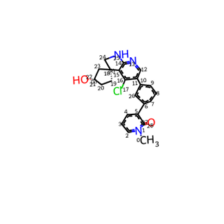 Cn1cccc(-c2cccc(-c3cnc4c(c3Cl)[C@]3(CC[C@H](O)C3)CN4)c2)c1=O